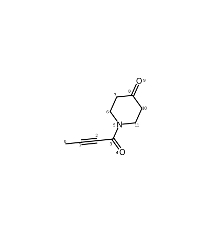 CC#CC(=O)N1CCC(=O)CC1